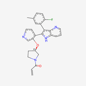 C=CC(=O)N1CC[C@@H](Oc2cnccc2-c2[nH]c3cccnc3c2-c2cc(C)ccc2F)C1